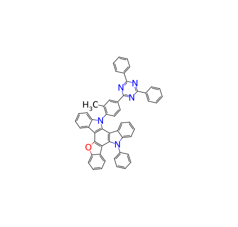 Cc1cc(-c2nc(-c3ccccc3)nc(-c3ccccc3)n2)ccc1-n1c2ccccc2c2c3oc4ccccc4c3c3c(c4ccccc4n3-c3ccccc3)c21